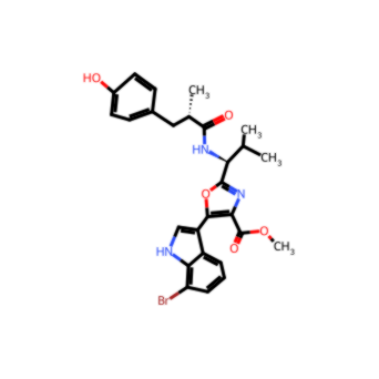 COC(=O)c1nc([C@@H](NC(=O)[C@@H](C)Cc2ccc(O)cc2)C(C)C)oc1-c1c[nH]c2c(Br)cccc12